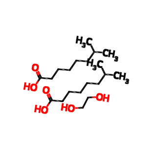 CC(C)CCCCCC(=O)O.CC(C)CCCCCC(=O)O.OCCO